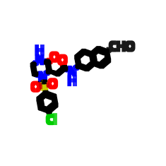 O=Cc1ccc2c(c1)CCC(NC(=O)C[C@@H]1C(=O)NCCN1S(=O)(=O)c1ccc(Cl)cc1)C2